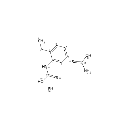 CCc1ccccc1NC(O)=S.NC(O)=S.[KH]